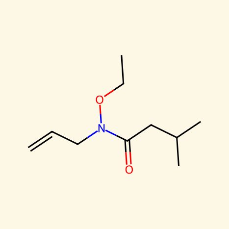 C=CCN(OCC)C(=O)CC(C)C